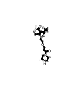 O=C(CCOCCn1nc(C(F)(F)F)c2c(=O)[nH]ncc21)N1CCNCC1